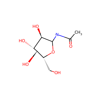 CC(=O)[N]C1O[C@H](CO)[C@@H](O)[C@H](O)[C@H]1O